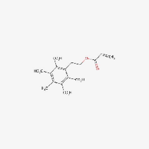 C=CC(=O)OCCc1c(C(=O)O)c(C(=O)O)c(C)c(C(=O)O)c1C(=O)O